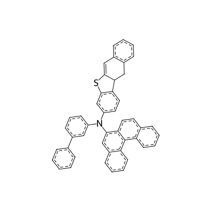 C1=C2Sc3cc(N(c4cccc(-c5ccccc5)c4)c4cc5ccccc5c5c4ccc4ccccc45)ccc3C2Cc2ccccc21